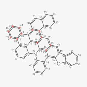 c1ccc(-c2ccccc2-c2c(-c3ccccc3)cccc2N(c2cccc(-c3cccc4ccccc34)c2)c2ccccc2-c2cccc3c2oc2ccccc23)cc1